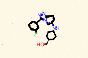 OC[C@H]1CC[C@H](Nc2ccc3nnc(-c4cccc(Cl)c4)n3c2)CC1